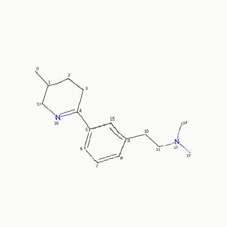 CC1CCC(c2cccc(CCN(C)C)c2)=NC1